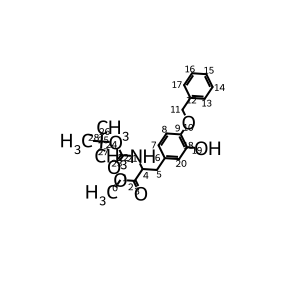 COC(=O)C(Cc1ccc(OCc2ccccc2)c(O)c1)NC(=O)OC(C)(C)C